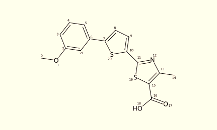 COc1cccc(-c2ccc(-c3nc(C)c(C(=O)O)s3)s2)c1